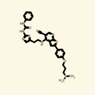 CN(C)CCCOc1ccc(-c2cc3c(NCCc4cnc(NC(=O)Nc5ccccc5)s4)c(C#N)cnc3s2)cc1